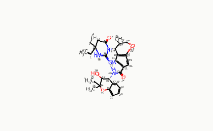 CCC1(CC)CC(=O)N([C@H]2c3cc(C(=O)N[C@@H]4c5ccccc5OC(C)(C)[C@H]4O)ccc3OC[C@@H]2C)C(=N)N1